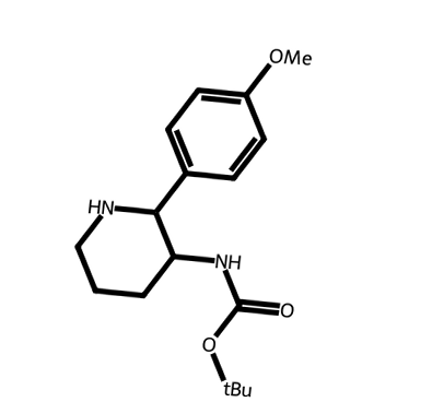 COc1ccc(C2NCCCC2NC(=O)OC(C)(C)C)cc1